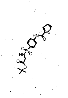 CC(C)(C)OC(=O)CNS(=O)(=O)c1ccc(NC(=O)c2cccs2)cc1